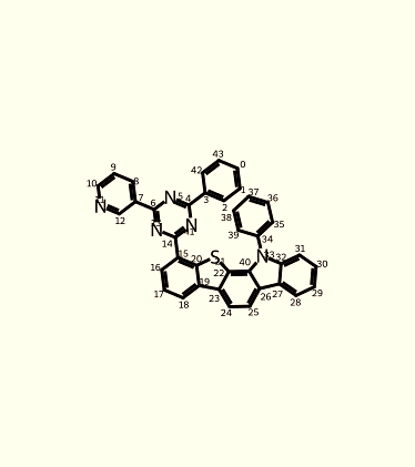 c1ccc(-c2nc(-c3cccnc3)nc(-c3cccc4c3sc3c4ccc4c5ccccc5n(-c5ccccc5)c43)n2)cc1